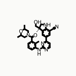 Cc1c(Nc2nccc(-c3cc(C#N)c4c(c3)[C@@](C)(CO)CN4)n2)cccc1C(=O)N1CC(C)OC(C)C1